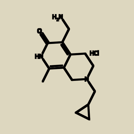 Cc1[nH]c(=O)c(CN)c2c1CN(CC1CC1)CC2.Cl